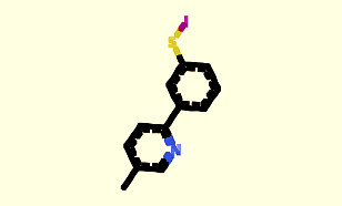 Cc1ccc(-c2cccc(SI)c2)nc1